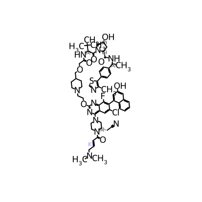 Cc1ncsc1-c1ccc([C@H](C)NC(=O)[C@@H]2C[C@@H](O)CN2C(=O)[C@@H](NC(=O)COCC2CCN(CCOc3nc(N4CCN(C(=O)/C=C/CN(C)C)[C@@H](CC#N)C4)c4cc(Cl)c(-c5cc(O)cc6ccccc56)c(F)c4n3)CC2)C(C)(C)C)cc1